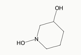 OC1CCCN(O)C1